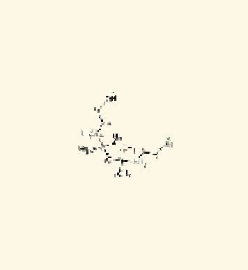 CC(C)(OC(C)(C)[SiH2]CCO)[SiH2]CCO